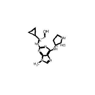 Cl.Cn1cnc2c(N[C@H]3CCNC3)nc(N[C@@H](CO)C3CC3)nc21